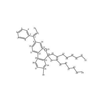 CC=C(c1ccccc1)c1ccc2c(c1)OC(CCCCCCCC)(CCCCCCCC)c1cc(C)ccc1-2